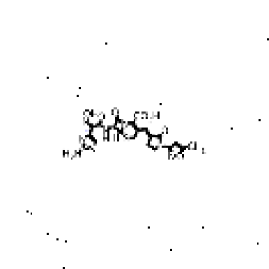 Cc1cc(N2CCC(=CC3=C(C(=O)O)N4C(=O)[C@@H](NC(=O)/C(=N\O)c5csc(N)n5)[C@H]4SC3)C2=O)no1